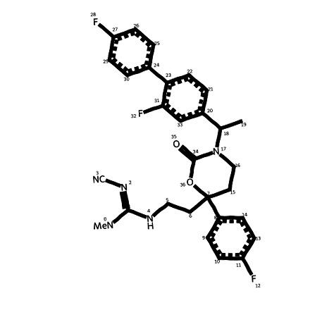 CNC(=NC#N)NCCC1(c2ccc(F)cc2)CCN(C(C)c2ccc(-c3ccc(F)cc3)c(F)c2)C(=O)O1